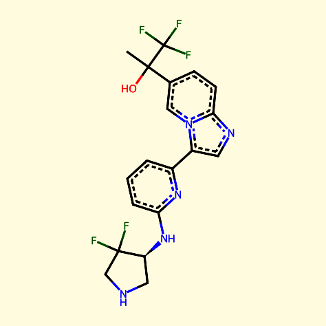 CC(O)(c1ccc2ncc(-c3cccc(N[C@H]4CNCC4(F)F)n3)n2c1)C(F)(F)F